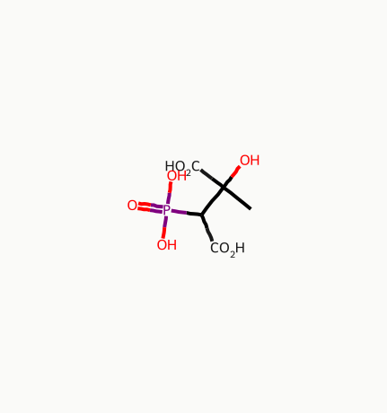 CC(O)(C(=O)O)C(C(=O)O)P(=O)(O)O